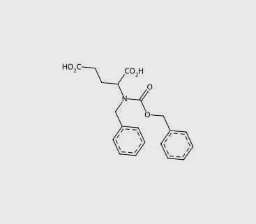 O=C(O)CCC(C(=O)O)N(Cc1ccccc1)C(=O)OCc1ccccc1